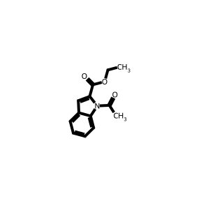 CCOC(=O)c1cc2ccccc2n1C(C)=O